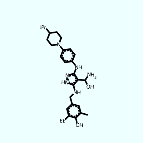 CCc1cc(CNc2[nH]nc(Nc3ccc(N4CCC(C(C)C)CC4)cc3)c2C(N)O)cc(C)c1O